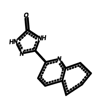 O=c1[nH]nc(-c2ccc3ccccc3n2)[nH]1